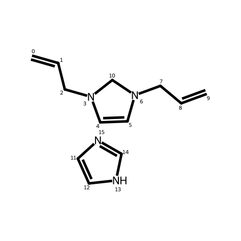 C=CCN1C=CN(CC=C)C1.c1c[nH]cn1